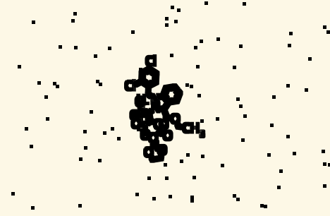 CCOC(=O)C1c2ccccc2N(Cc2ccc(Cl)cc2Cl)N1C(C(OC(=O)ON1OCCO1)[SH](=O)=O)[SH](=O)=O